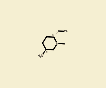 CN1C[C@@H](N)CC[C@@H]1CO